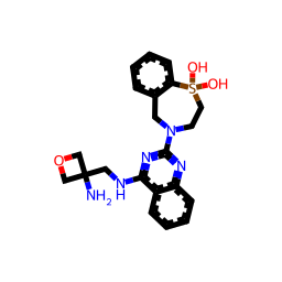 NC1(CNc2nc(N3CCS(O)(O)c4ccccc4C3)nc3ccccc23)COC1